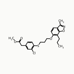 CCCc1c(OCCCSc2ccc(CC(=O)OC)cc2Cl)ccc2c(C)noc12